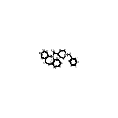 O=C(C1CCN(Cc2ccccc2)CC1)N1c2ccccc2CCc2ccccc21